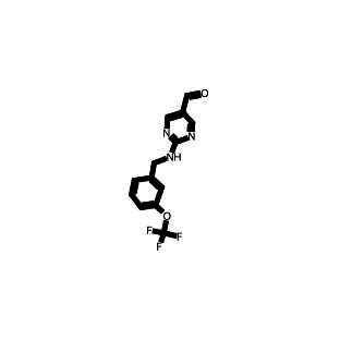 O=Cc1cnc(NCc2cccc(OC(F)(F)F)c2)nc1